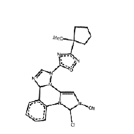 COC1(c2noc(N3C=NC4c5ccccc5N5C(=CN(C#N)C5Cl)N43)n2)CCCC1